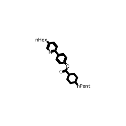 CCCCCCc1ccc(-c2ccc(OC(=O)C3CCC(CCCCC)CC3)cc2)nc1